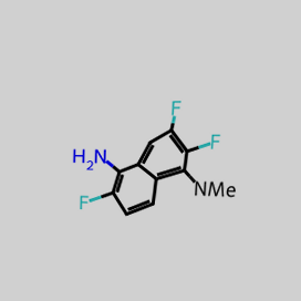 CNc1c(F)c(F)cc2c(N)c(F)ccc12